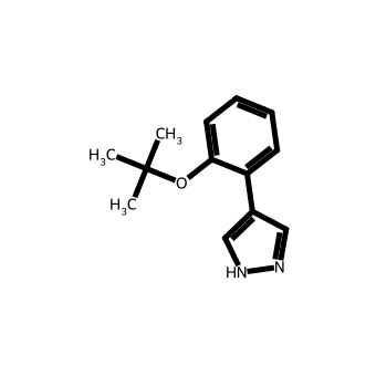 CC(C)(C)Oc1ccccc1-c1cn[nH]c1